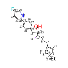 CCC(C)(C/C(C)=C/CCCC(I)C(C)(O)Cc1ccc(-c2ccc(F)cn2)cc1)C(F)(F)F